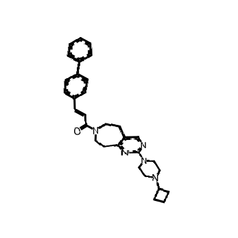 O=C(C=Cc1ccc(-c2ccccc2)cc1)N1CCc2cnc(N3CCN(C4CCC4)CC3)nc2CC1